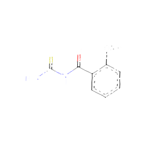 COc1ccccc1C(=O)NC(N)=S